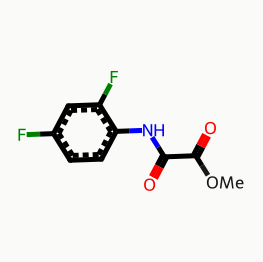 COC(=O)C(=O)Nc1ccc(F)cc1F